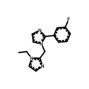 CCn1ccnc1Cn1ccnc1-c1cccc(F)c1